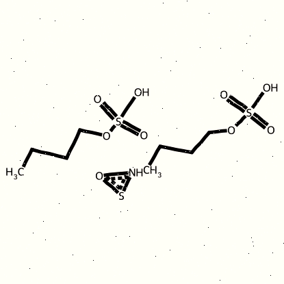 CCCCOS(=O)(=O)O.CCCCOS(=O)(=O)O.[nH]1os1